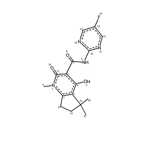 Cn1c2c(c(O)c(C(=O)Nc3ncc(F)cn3)c1=O)C(C)(C)CC2